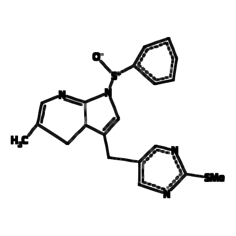 CSc1ncc(CC2=CN([S+]([O-])c3ccccc3)C3=NC=C(C)CC23)cn1